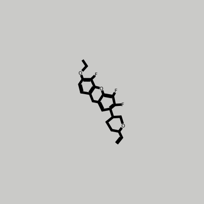 C=CC1CCC(c2cc3c(c(F)c2F)Oc2c(ccc(OCC)c2F)C3)CO1